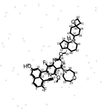 C#Cc1c(F)ccc2cc(O)cc(-c3nc(OC)c4c(N5CCCOCC5)nc(OC[C@]56CCC[C@H]5N(C5CCC7(CCO7)CC5)CCC6)nc4c3F)c12